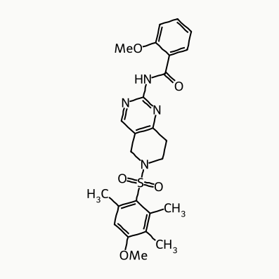 COc1ccccc1C(=O)Nc1ncc2c(n1)CCN(S(=O)(=O)c1c(C)cc(OC)c(C)c1C)C2